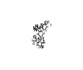 O=C(Nc1ccc(-c2ccc(C(F)(F)F)nc2)c(-c2nnn[nH]2)c1)C1(c2ccc(F)c(F)c2)CC1